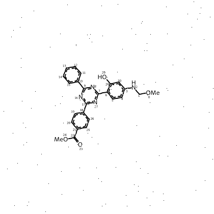 COCNc1ccc(-c2nc(-c3ccccc3)nc(-c3ccc(C(=O)OC)cc3)n2)c(O)c1